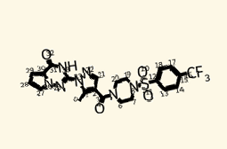 Cc1c(C(=O)N2CCN(S(=O)(=O)c3ccc(C(F)(F)F)cc3)CC2)cnn1-c1nn2cccc2c(=O)[nH]1